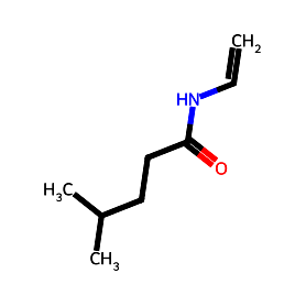 C=CNC(=O)CCC(C)C